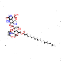 CCCCCCCCCCCCCCCCCC(=O)OCC1O[C@H](O)C(NC(C)=O)[C@@H](O[C@@H](C)C(=O)N[C@H](C)C(=O)N[C@H](CCC(=O)O)C(N)=O)[C@@H]1O